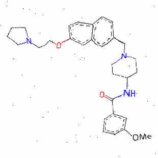 COc1cccc(C(=O)NC2CCN(Cc3ccc4ccc(OCCN5CCCC5)cc4c3)CC2)c1